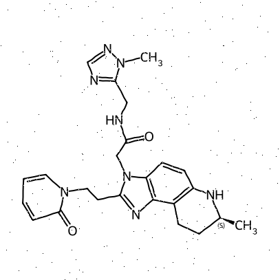 C[C@H]1CCc2c(ccc3c2nc(CCn2ccccc2=O)n3CC(=O)NCc2ncnn2C)N1